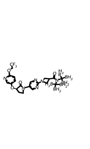 BC(B)(B)N(C(=O)C1CN(c2ncc(N3CC[C@@H](Oc4ccc(OCC(F)(F)F)nc4)C3=O)cn2)C1)C(B)(B)B